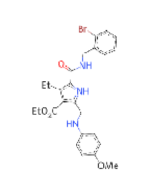 CCOC(=O)c1c(CNc2ccc(OC)cc2)[nH]c(C(=O)NCc2ccccc2Br)c1CC